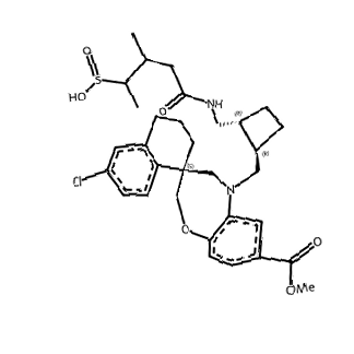 COC(=O)c1ccc2c(c1)N(C[C@@H]1CC[C@H]1CNC(=O)CC(C)C(C)S(=O)O)C[C@@]1(CCCc3cc(Cl)ccc31)CO2